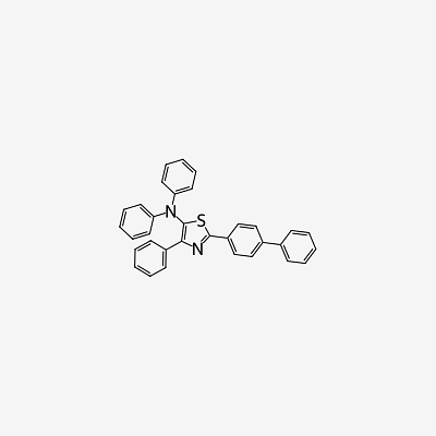 c1ccc(-c2ccc(-c3nc(-c4ccccc4)c(N(c4ccccc4)c4ccccc4)s3)cc2)cc1